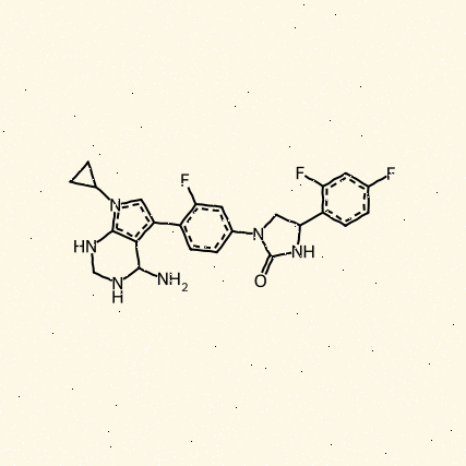 NC1NCNc2c1c(-c1ccc(N3CC(c4ccc(F)cc4F)NC3=O)cc1F)cn2C1CC1